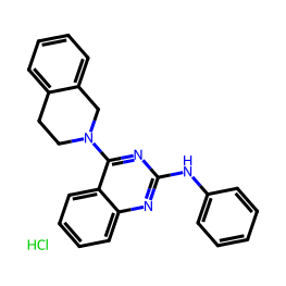 Cl.c1ccc(Nc2nc(N3CCc4ccccc4C3)c3ccccc3n2)cc1